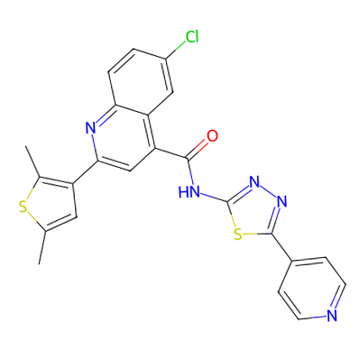 Cc1cc(-c2cc(C(=O)Nc3nnc(-c4ccncc4)s3)c3cc(Cl)ccc3n2)c(C)s1